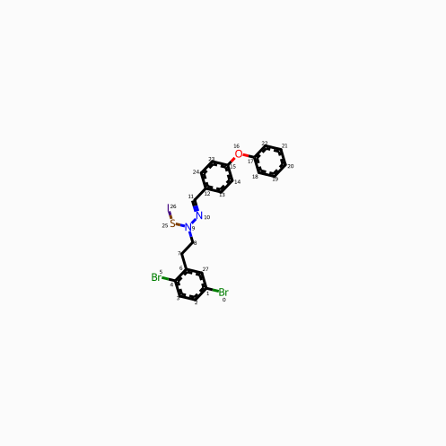 Brc1ccc(Br)c(CCN(/N=C/c2ccc(Oc3ccccc3)cc2)SI)c1